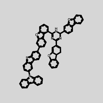 C1=C(C2=NC(c3ccc4c(c3)oc3ccccc34)NC(c3cccc4oc5cc(-c6ccc7c(c6)sc6ccc(-n8c9ccccc9c9ccccc98)cc67)ccc5c34)=N2)C=C2Oc3ccccc3C2C1